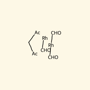 CC(=O)CC(C)=O.O=[CH][Rh].O=[CH][Rh][CH]=O